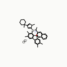 C/[C](c1ccc2ccccc2c1)=[Zr+2](\[C]1=CC(C2(C)CCCCC2)=CC1C)[c]1c(C)c(C)cc2c1Cc1cc(C)c(C)cc1-2.[Cl-].[Cl-]